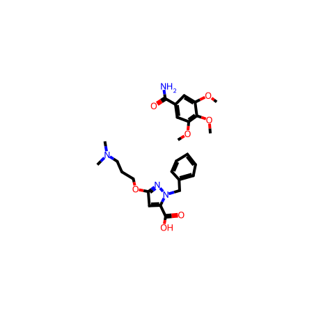 CN(C)CCCOc1cc(C(=O)O)n(Cc2ccccc2)n1.COc1cc(C(N)=O)cc(OC)c1OC